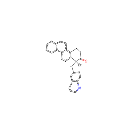 CCC1([CH]c2ccc3ncccc3c2)C(=O)CCc2c1ccc1c2ccc2ccccc21